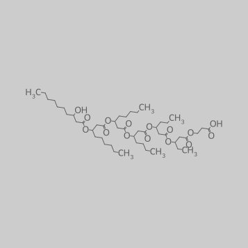 CCCCCCCC(O)CC(=O)OC(CCCCCC)CC(=O)OC(CCCCC)CC(=O)OC(CCCC)CC(=O)OC(CCC)CC(=O)OC(CC)CC(=O)OCCC(=O)O